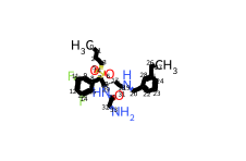 CCCCS(=O)(=O)C(c1cc(F)cc(F)c1)[C@H]([CH]CNCc1cccc(CC)c1)NC(=O)CN